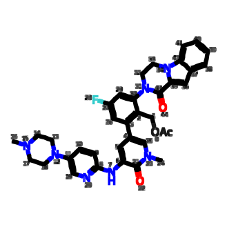 CC(=O)OCc1c(-c2cc(Nc3ccc(N4CCN(C)CC4)cn3)c(=O)n(C)c2)cc(F)cc1N1CCn2c(cc3ccccc32)C1=O